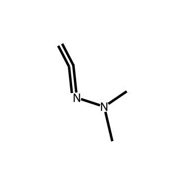 C=C=NN(C)C